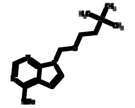 CNc1ncnc2c1ccn2COCCS(C)(C)C